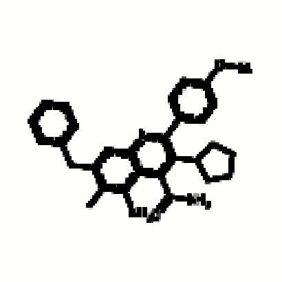 CCOc1ccc(-c2nc3cc(Cc4ccccc4)c(C)c(N)c3c(C(N)=O)c2C2CCCC2)cc1